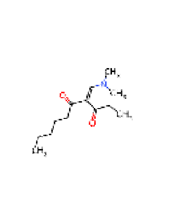 CCCCCC(=O)C(=CN(C)C)C(=O)CC